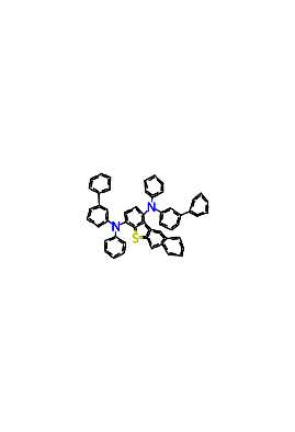 c1ccc(-c2cccc(N(c3ccccc3)c3ccc(N(c4ccccc4)c4cccc(-c5ccccc5)c4)c4c3sc3cc5ccccc5cc34)c2)cc1